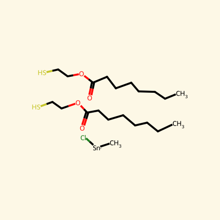 CCCCCCCC(=O)OCCS.CCCCCCCC(=O)OCCS.[CH3][Sn][Cl]